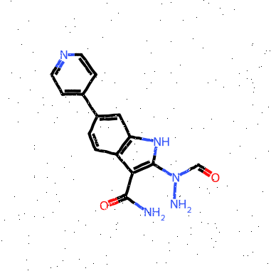 NC(=O)c1c(N(N)C=O)[nH]c2cc(-c3ccncc3)ccc12